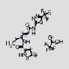 CC[C@@H](/C=C/C(=O)Nc1nnc(C(F)(F)F)s1)NC(=O)[C@@H]1C[C@H](F)CN1.O=C(O)C(F)(F)F